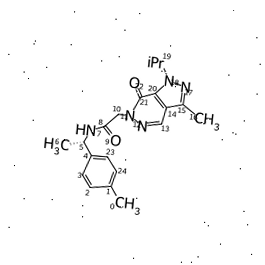 Cc1ccc([C@H](C)NC(=O)Cn2ncc3c(C)nn(C(C)C)c3c2=O)cc1